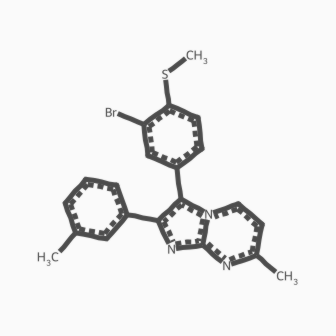 CSc1ccc(-c2c(-c3cccc(C)c3)nc3nc(C)ccn23)cc1Br